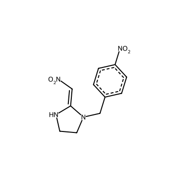 O=[N+]([O-])C=C1NCCN1Cc1ccc([N+](=O)[O-])cc1